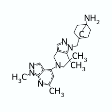 Cc1cc(N2Cc3cnn(CC45CCC(N)(CC4)CC5)c3C(C)(C)C2)c2cnn(C)c2n1